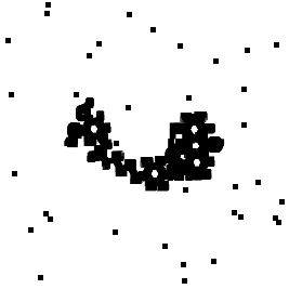 COc1ccc(CN(C)CCCCCc2ccc(NC(=O)c3cccc4c(=O)c5cccc(F)c5[nH]c34)cc2)cc1OC